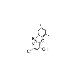 Cc1cc(C)c(Oc2nnc(Cl)cc2O)c(Br)c1